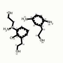 NN(CCO)c1cccc(CCO)c1Cl.Nc1ccc(N)c(CCO)c1